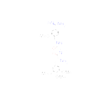 COc1cc(C(=N)N)ccc1CNC(=O)[C@@H]1CCCN1C(=O)[C@@H](N)Cc1cc(OC)c(OC)c(OC)c1